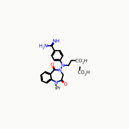 CC(=O)O.CC(C)N1C(=O)CN(N(CCC(=O)O)c2ccc(C(=N)N)cc2)C(=O)c2ccccc21